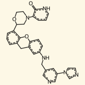 O=c1[nH]cccc1N1CCOC(c2cccc3c2Oc2ccc(NCc4cncc(-n5ccnc5)c4)cc2C3)C1